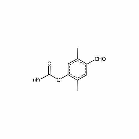 [CH2]CCC(=O)Oc1cc(C)c(C=O)cc1C